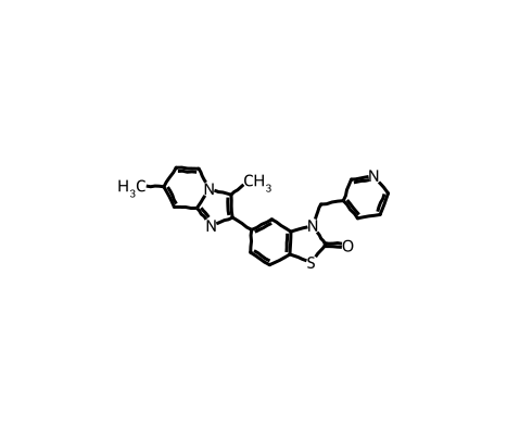 Cc1ccn2c(C)c(-c3ccc4sc(=O)n(Cc5cccnc5)c4c3)nc2c1